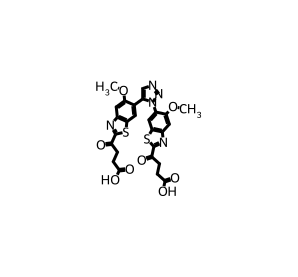 COc1cc2nc(C(=O)CCC(=O)O)sc2cc1-c1cnnn1-c1cc2sc(C(=O)CCC(=O)O)nc2cc1OC